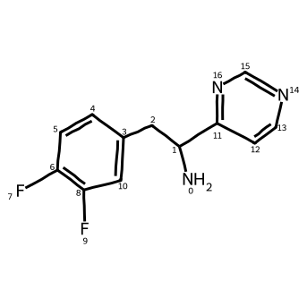 NC(Cc1ccc(F)c(F)c1)c1ccncn1